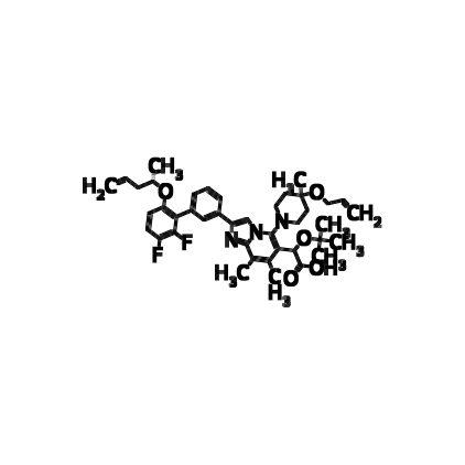 C=CCOC1(C)CCN(c2c(C(OC(C)(C)C)C(=O)O)c(C)c(C)c3nc(-c4cccc(-c5c(O[C@@H](C)CC=C)ccc(F)c5F)c4)cn23)CC1